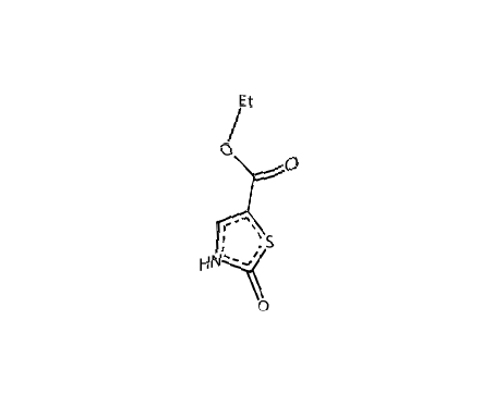 CCOC(=O)c1c[nH]c(=O)s1